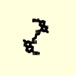 CSc1ccc2nc(C)cc(NCCCCNc3cc(C)nc4ccc(SC)cc34)c2c1